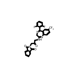 O=C(CNC1=Nc2ccc(C(F)(F)F)cc2C(c2c(F)cccc2F)=NC1)CN1C(=O)c2ccccc2C1=O